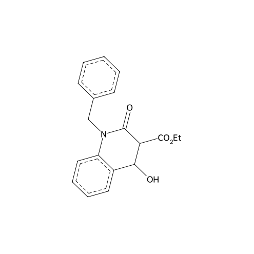 CCOC(=O)C1C(=O)N(Cc2ccccc2)c2ccccc2C1O